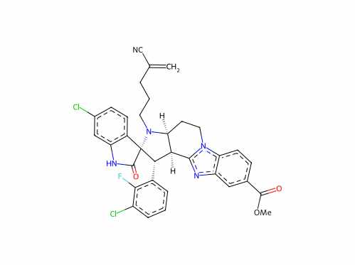 C=C(C#N)CCCN1[C@H]2CCn3c(nc4cc(C(=O)OC)ccc43)[C@H]2[C@H](c2cccc(Cl)c2F)[C@]12C(=O)Nc1cc(Cl)ccc12